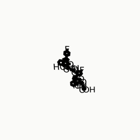 O=C(O)CNC(=O)C1=C(O)C2(CCCCC2)n2ccc(-c3ccc(F)cc3OC(=O)CNC(=O)C3=C(O)C4(CCCCC4)n4cc(-c5ccc(F)cc5)cc4C3=O)c2C1=O